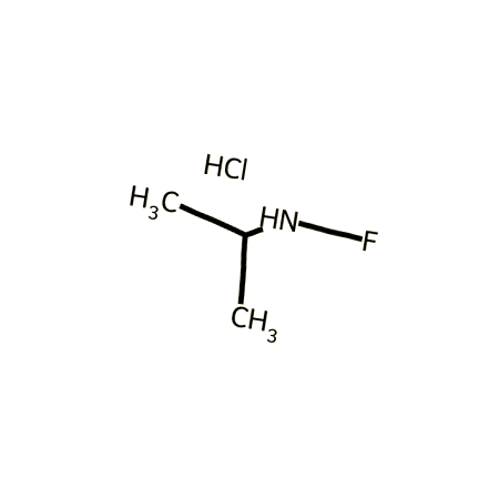 CC(C)NF.Cl